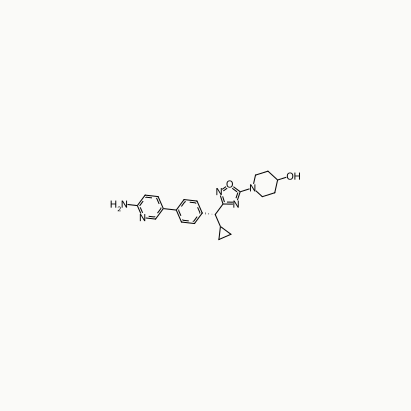 Nc1ccc(-c2ccc([C@H](c3noc(N4CCC(O)CC4)n3)C3CC3)cc2)cn1